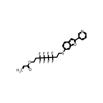 C=CC(=O)OCCC(F)(F)C(F)(F)C(F)(F)C(F)(F)CCSc1ccc2cc(-c3cccnc3)oc2c1